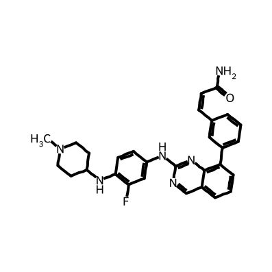 CN1CCC(Nc2ccc(Nc3ncc4cccc(-c5cccc(C=CC(N)=O)c5)c4n3)cc2F)CC1